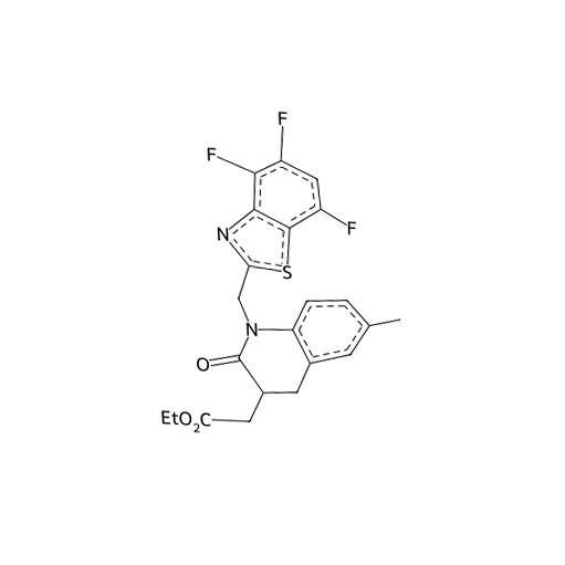 CCOC(=O)CC1Cc2cc(C)ccc2N(Cc2nc3c(F)c(F)cc(F)c3s2)C1=O